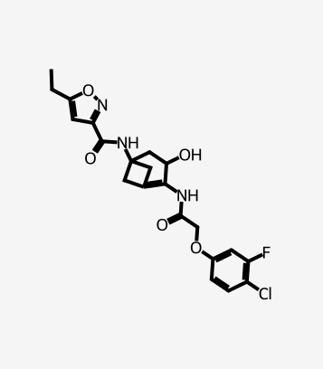 CCc1cc(C(=O)NC23CC(=C(NC(=O)COc4ccc(Cl)c(F)c4)C(O)C2)C3)no1